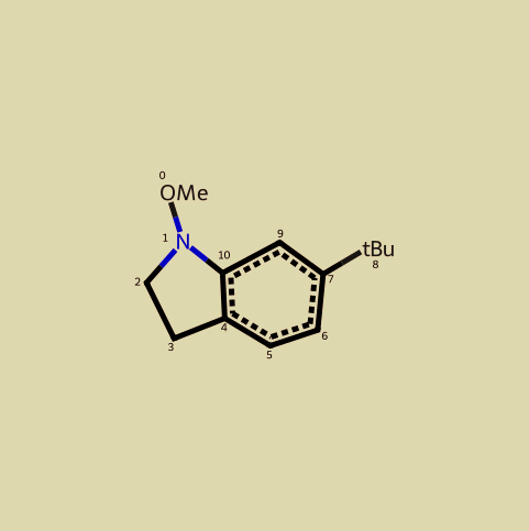 CON1CCc2ccc(C(C)(C)C)cc21